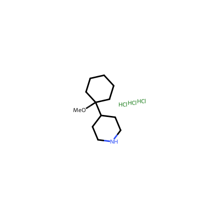 COC1(C2CCNCC2)CCCCC1.Cl.Cl.Cl